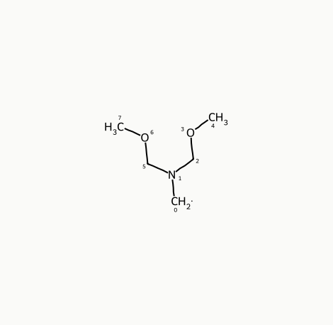 [CH2]N(COC)COC